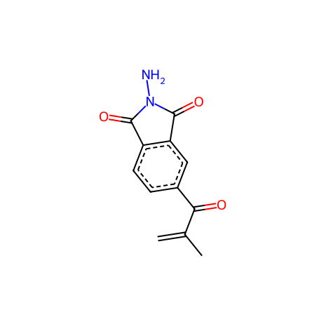 C=C(C)C(=O)c1ccc2c(c1)C(=O)N(N)C2=O